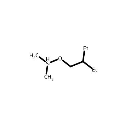 CCC(CC)CO[SiH](C)C